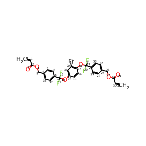 C=CC(=O)OCc1ccc(C(F)(F)Oc2ccc(OC(F)(F)c3ccc(COC(=O)C=C)cc3)c(CC)c2)cc1